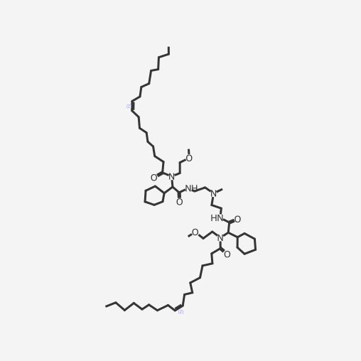 CCCCCCCC/C=C\CCCCCCCC(=O)N(CCOC)C(C(=O)NCCN(C)CCNC(=O)C(C1CCCCC1)N(CCOC)C(=O)CCCCCCC/C=C\CCCCCCCC)C1CCCCC1